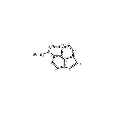 CCCC(C)P(c1ccc2c3c(cccc13)C=C2)C(C)CCC